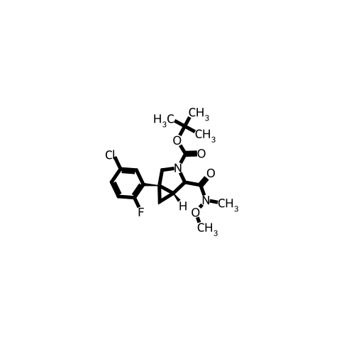 CON(C)C(=O)C1[C@@H]2C[C@]2(c2cc(Cl)ccc2F)CN1C(=O)OC(C)(C)C